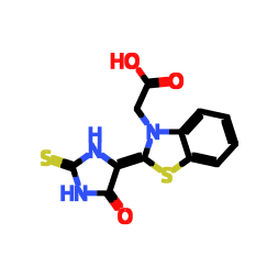 O=C(O)CN1/C(=C2\NC(=S)NC2=O)Sc2ccccc21